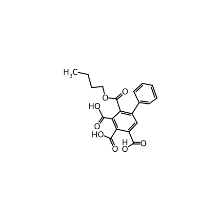 CCCCOC(=O)c1c(-c2ccccc2)cc(C(=O)O)c(C(=O)O)c1C(=O)O